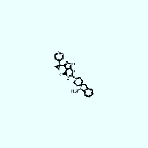 N[C@@H]1c2ccccc2CC12CCN(c1nc3[nH]nc(C4(c5ccnnc5)CC4)c3c(=O)[nH]1)CC2